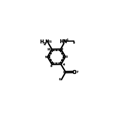 CNc1cc(C(C)=O)ccc1N